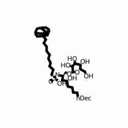 CCCCCCCCCCCCCC[C@@H](O)[C@@H](O)[C@H](COC1OC(CO)C(O)C(O)C1O)N=S(C)(=O)CCCCCCCCCCC12CC3CC(CC(C3)C1)C2